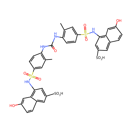 Cc1cc(S(=O)(=O)Nc2cc(S(=O)(=O)O)cc3ccc(O)cc23)ccc1NC(=O)Nc1ccc(S(=O)(=O)Nc2cc(S(=O)(=O)O)cc3ccc(O)cc23)cc1C